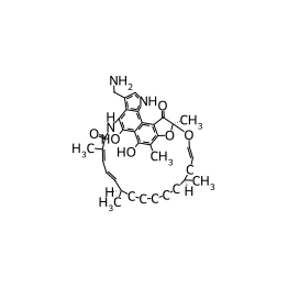 C/C1=C/C=C/[C@H](C)CCCCC[C@H](C)C/C=C/O[C@@]2(C)Oc3c(C)c(O)c4c(O)c(c5c(CN)c[nH]c5c4c3C2=O)NC1=O